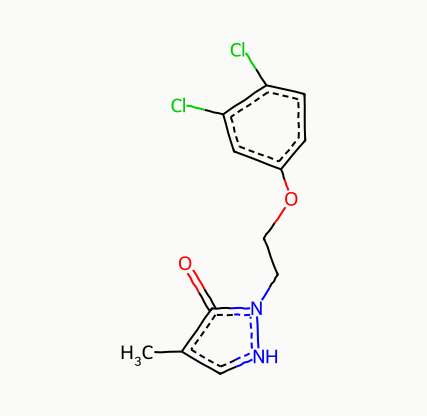 Cc1c[nH]n(CCOc2ccc(Cl)c(Cl)c2)c1=O